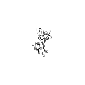 CC(=O)c1nn([C@@H]2O[C@H](CO)[C@H]3OC(C)(C)O[C@H]32)c2ncnc(N)c12